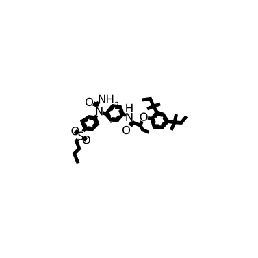 CCCCS(=O)(=O)c1ccc(N(C(N)=O)c2[c]cc(NC(=O)C(CC)Oc3ccc(C(C)(C)CC)cc3C(C)(C)CC)cc2)cc1